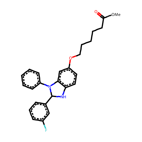 COC(=O)CCCCCOc1ccc2c(c1)N(c1ccccc1)C(c1cccc(F)c1)N2